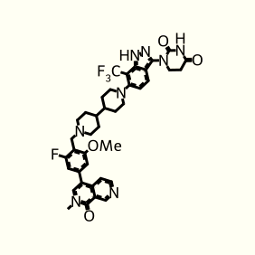 COc1cc(-c2cn(C)c(=O)c3cnccc23)cc(F)c1CN1CCC(C2CCN(c3ccc4c(N5CCC(=O)NC5=O)n[nH]c4c3C(F)(F)F)CC2)CC1